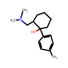 Cc1ccc(C2(O)CCCCC2CN(C)C)cc1